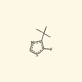 CC(C)(C)c1ncsc1F